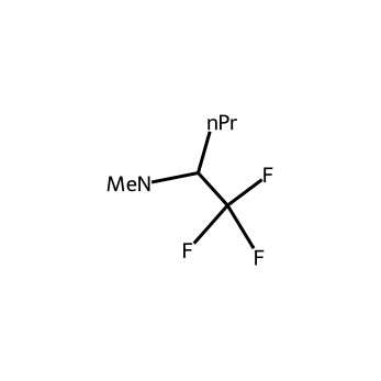 CCCC(NC)C(F)(F)F